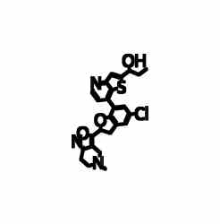 CCC(O)c1cc2nccc(-c3cc(Cl)cc4c3OC(c3onc5c3CN(C)CC5)C4)c2s1